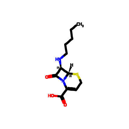 CCCCCN[C@@H]1C(=O)N2C(C(=O)O)=CCS[C@H]12